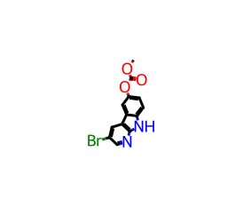 COC(=O)Oc1ccc2[nH]c3ncc(Br)cc3c2c1